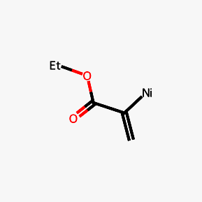 C=[C]([Ni])C(=O)OCC